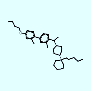 CCCCCC1([C@H]2CC[C@H](C(C)c3ccc(-c4ccc(OCCCC)cc4C)cc3C)CC2)CCCCC1